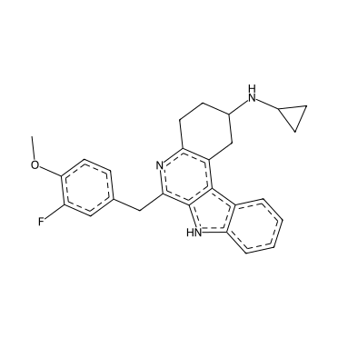 COc1ccc(Cc2nc3c(c4c2[nH]c2ccccc24)CC(NC2CC2)CC3)cc1F